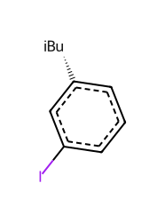 CC[C@@H](C)c1cccc(I)c1